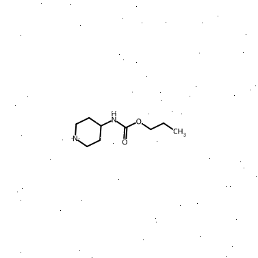 CCCOC(=O)NC1CC[N]CC1